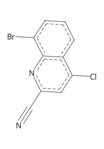 N#Cc1cc(Cl)c2cccc(Br)c2n1